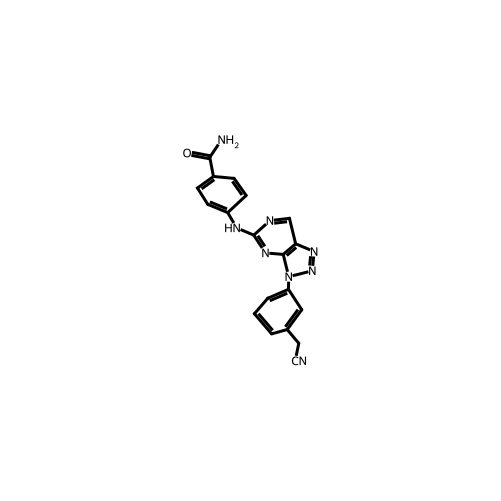 N#CCc1cccc(-n2nnc3cnc(Nc4ccc(C(N)=O)cc4)nc32)c1